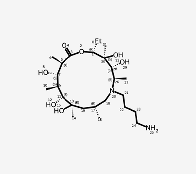 CC[C@H]1OC(=O)[C@H](C)[C@@H](O)[C@H](C)[C@@H](O)[C@](C)(O)C[C@@H](C)CN(CCCCN)[C@H](C)[C@@H](O)[C@]1(C)O